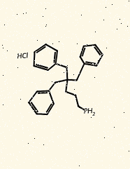 Cl.PCCCC(Cc1ccccc1)(Cc1ccccc1)Cc1ccccc1